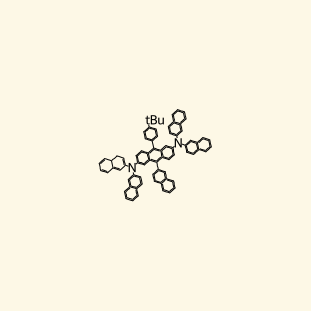 CC(C)(C)c1ccc(-c2c3ccc(N(C4=CCC5C=CC=CC5=C4)c4ccc5ccccc5c4)cc3c(-c3ccc4ccccc4c3)c3ccc(N(c4ccc5ccccc5c4)c4ccc5ccccc5c4)cc23)cc1